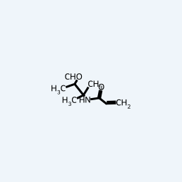 C=CC(=O)NC(C)(C)C(C)C=O